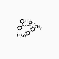 COc1ccc(-c2ccc(C)c(CN(C)CCCC(c3ccccc3)c3ccccc3)c2)cc1.Cl